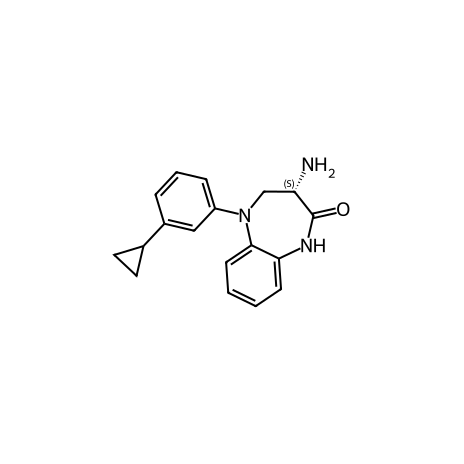 N[C@H]1CN(c2cccc(C3CC3)c2)c2ccccc2NC1=O